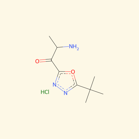 CC(N)C(=O)c1nnc(C(C)(C)C)o1.Cl